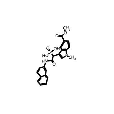 COC(=O)c1ccc2c(c1)c(C(C(=O)Nc1ccc3ccccc3c1)P(=O)(O)O)cn2C